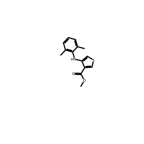 COC(=O)c1cscc1Nc1c(C)cccc1C